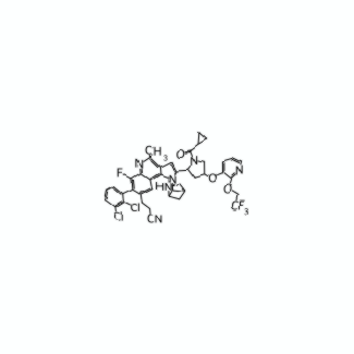 Cc1nc2c(F)c(-c3cccc(Cl)c3Cl)c(CCC#N)cc2c2c1cc(C1CC(Oc3cccnc3OCC(F)(F)F)CN1C(=O)C1CC1)n2C1C2CNC1C2